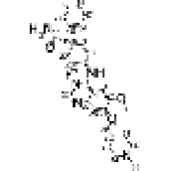 COc1cc2c(Nc3ccc(C(C(N)=O)c4ccccc4)cc3F)ncnc2cc1OCC1CCN(C)CC1